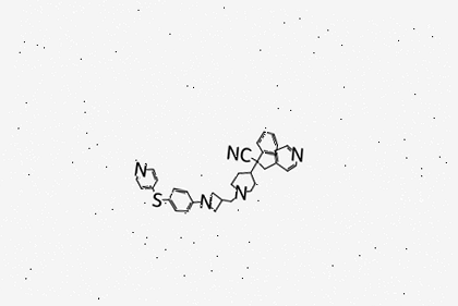 N#CC(Cc1ccncc1)(c1ccccc1)C1CCN(CC2CN(c3ccc(Sc4ccncc4)cc3)C2)CC1